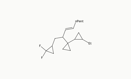 CCCCC/C=C/C(CC1CC1(F)F)C1(C2CC2CC)CC1